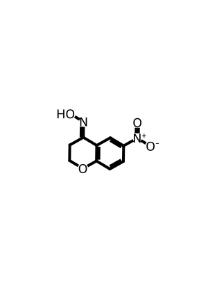 O=[N+]([O-])c1ccc2c(c1)C(=NO)CCO2